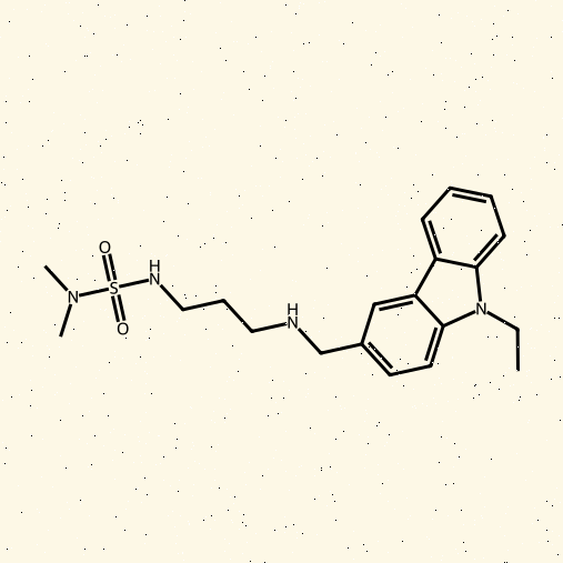 CCn1c2ccccc2c2cc(CNCCCNS(=O)(=O)N(C)C)ccc21